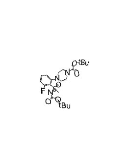 CC(C)(C)OC(=O)N=S(C)(=O)c1c(F)cccc1N1CCN(C(=O)OC(C)(C)C)CC1